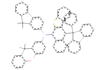 CC1(C)c2ccccc2Oc2ccc(N(c3ccc4c(c3)C(C)(C)c3ccccc3-4)c3c4ccccc4c(C4(c5ccccc5)c5ccccc5-c5ccccc54)c4c3sc3ccccc34)cc21